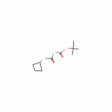 CC(C)(C)OC(=O)NC(=O)OC1CCC1